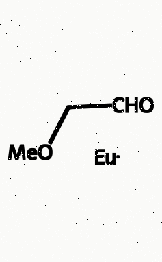 COCC=O.[Eu]